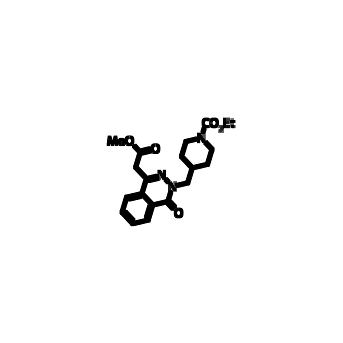 CCOC(=O)N1CCC(Cn2nc(CC(=O)OC)c3ccccc3c2=O)CC1